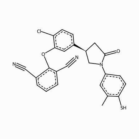 Cc1cc(N2C[C@@H](c3ccc(Cl)c(Oc4c(C#N)cccc4C#N)c3)CC2=O)ccc1S